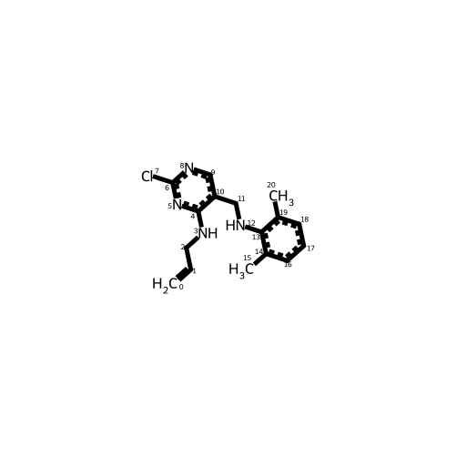 C=CCNc1nc(Cl)ncc1CNc1c(C)cccc1C